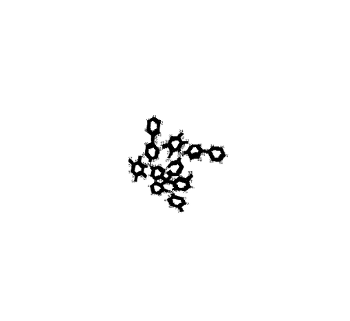 C=C(/C=C\C(=C/C)N(c1ccc(-c2ccccc2)cc1)c1c(C)c(C)cc(C)c1C)C1(c2ccc(N(c3ccc(-c4ccccc4)cc3)c3c(C)c(C)cc(C)c3C)cc2)c2ccccc2N(c2ccc(C)cc2)c2ccc(C)cc21